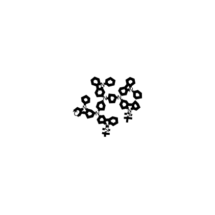 CC(C)(C)[Si](C)(C)n1c2ccccc2c2cc(N(c3ccc(N(c4ccc(N(c5ccc6c(c5)c5ccccc5n6[Si](C)(C)C(C)(C)C)c5ccc6c7ccccc7n(-c7ccccc7)c6c5)cc4)c4ccc5c6ccccc6n(-c6ccccc6)c5c4)cc3)c3ccc4c5ccccc5n(-c5ccccc5)c4c3)ccc21